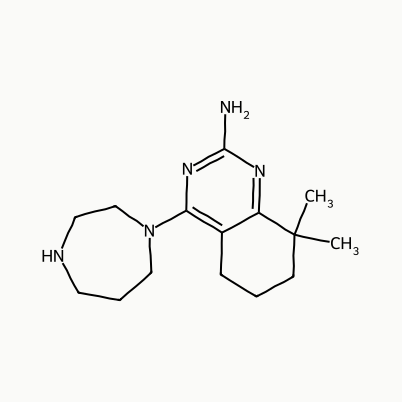 CC1(C)CCCc2c(N3CCCNCC3)nc(N)nc21